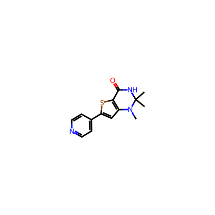 CN1c2cc(-c3ccncc3)sc2C(=O)NC1(C)C